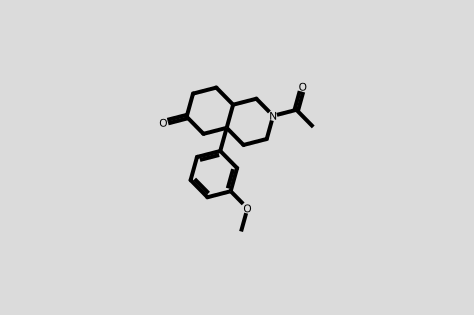 COc1cccc(C23CCN(C(C)=O)CC2CCC(=O)C3)c1